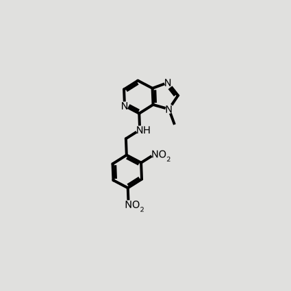 Cn1cnc2ccnc(NCc3ccc([N+](=O)[O-])cc3[N+](=O)[O-])c21